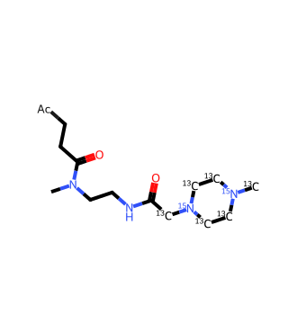 CC(=O)CCC(=O)N(C)CCNC(=O)[13CH2][15N]1[13CH2][13CH2][15N]([13CH3])[13CH2][13CH2]1